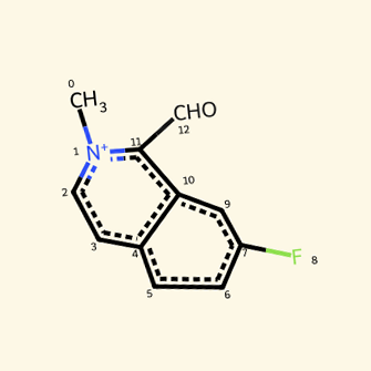 C[n+]1ccc2ccc(F)cc2c1C=O